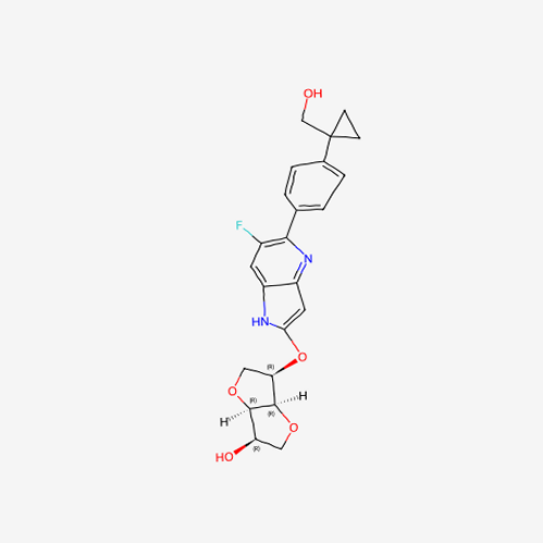 OCC1(c2ccc(-c3nc4cc(O[C@@H]5CO[C@H]6[C@@H]5OC[C@H]6O)[nH]c4cc3F)cc2)CC1